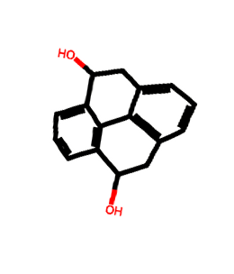 OC1Cc2cccc3c2-c2c1cccc2C(O)C3